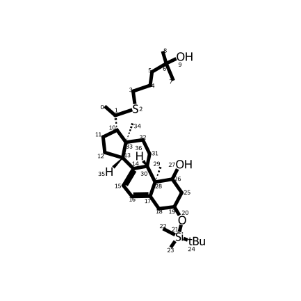 CC(SCCCC(C)(C)O)[C@H]1CC[C@H]2C3=CC=C4CC(O[Si](C)(C)C(C)(C)C)CC(O)[C@]4(C)[C@H]3CC[C@]12C